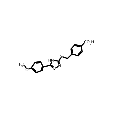 O=C(O)c1ccc(CSc2nnc(-c3ccc(OC(F)(F)F)cc3)[nH]2)cc1